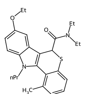 CCCn1c2c(c3cc(OCC)ccc31)C(C(=O)N(CC)CC)Sc1cccc(C)c1-2